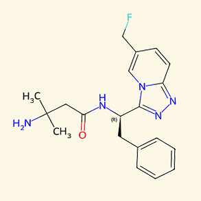 CC(C)(N)CC(=O)N[C@H](Cc1ccccc1)c1nnc2ccc(CF)cn12